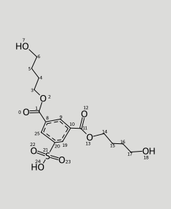 O=C(OCCCCO)c1cc(C(=O)OCCCCO)cc(S(=O)(=O)O)c1